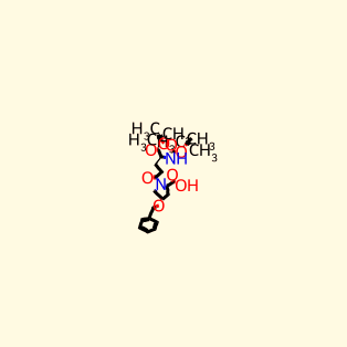 CC(C)(C)OC(=O)N[C@@H](CCC(=O)N1CC(OCc2ccccc2)CC1C(=O)O)C(=O)OC(C)(C)C